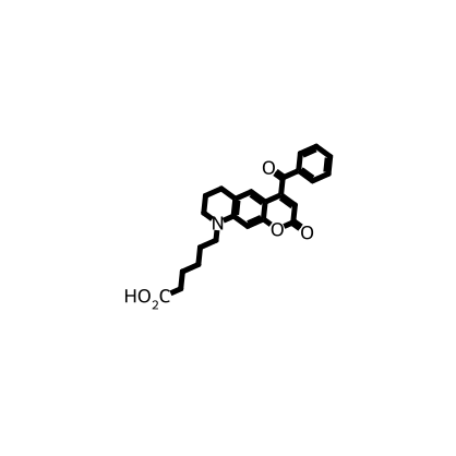 O=C(O)CCCCCN1CCCc2cc3c(C(=O)c4ccccc4)cc(=O)oc3cc21